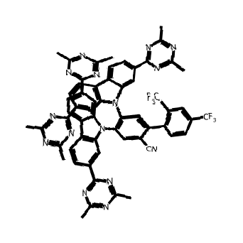 Cc1nc(C)nc(-c2ccc3c4ccc(-c5nc(C)nc(C)n5)cc4n(-c4cc(C#N)c(-c5ccc(C(F)(F)F)cc5C(F)(F)F)cc4-n4c5cc(-c6nc(C)nc(C)n6)ccc5c5ccc(-c6nc(C)nc(C)n6)cc54)c3c2)n1